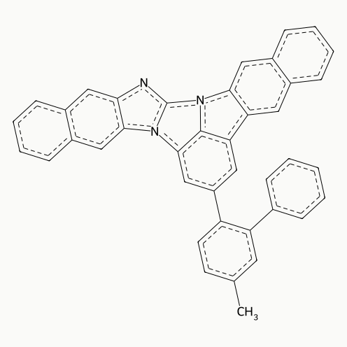 Cc1ccc(-c2cc3c4cc5ccccc5cc4n4c3c(c2)n2c3cc5ccccc5cc3nc24)c(-c2ccccc2)c1